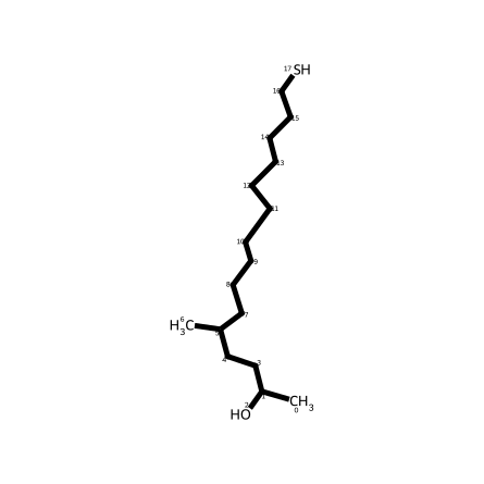 CC(O)CCC(C)CCCCCCCCCCS